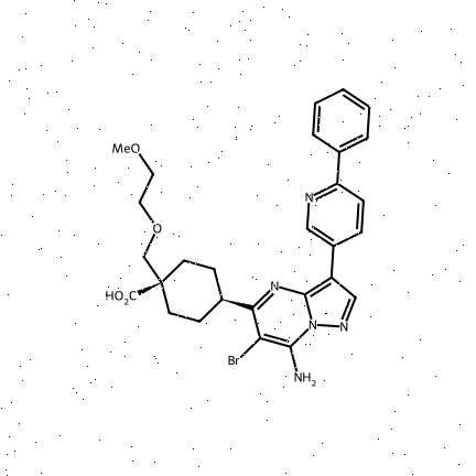 COCCOC[C@]1(C(=O)O)CC[C@@H](c2nc3c(-c4ccc(-c5ccccc5)nc4)cnn3c(N)c2Br)CC1